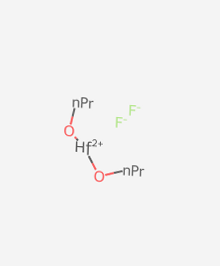 CCC[O][Hf+2][O]CCC.[F-].[F-]